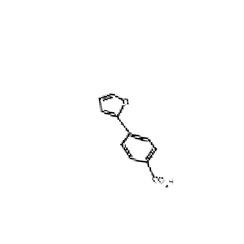 O=C(O)c1ccc(-c2cc[c]o2)cc1